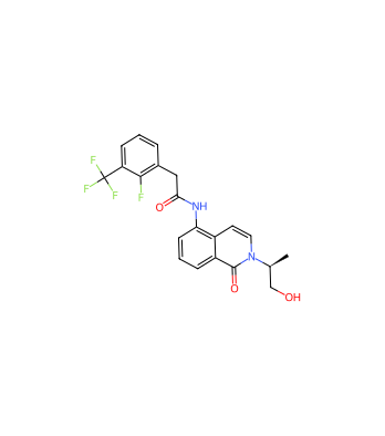 C[C@@H](CO)n1ccc2c(NC(=O)Cc3cccc(C(F)(F)F)c3F)cccc2c1=O